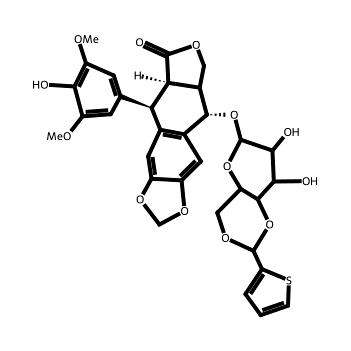 COc1cc([C@@H]2c3cc4c(cc3[C@@H](OC3OC5COC(c6cccs6)OC5C(O)C3O)C3COC(=O)[C@@H]32)OCO4)cc(OC)c1O